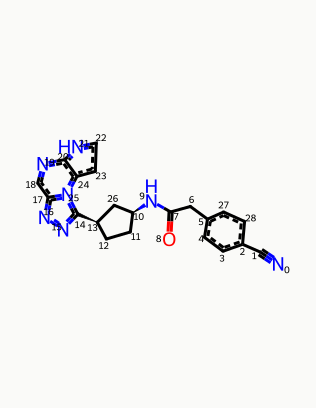 N#Cc1ccc(CC(=O)N[C@H]2CC[C@@H](c3nnc4cnc5[nH]ccc5n34)C2)cc1